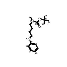 CN(CCCCSc1ccccc1)C(=O)OC(C)(C)C